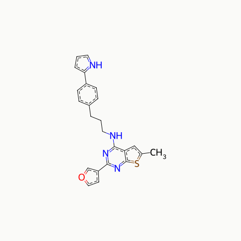 Cc1cc2c(NCCCc3ccc(-c4ccc[nH]4)cc3)nc(-c3ccoc3)nc2s1